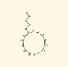 C=CCCCC1CCCCCCCCCCCCC1